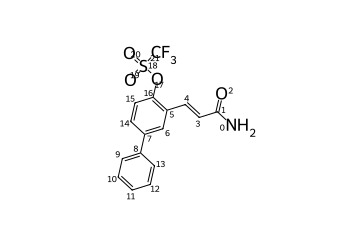 NC(=O)C=Cc1cc(-c2ccccc2)ccc1OS(=O)(=O)C(F)(F)F